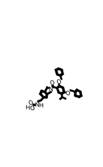 CC(C)c1cc(C(=O)N2Cc3ccc(CCNC(=O)O)cc3C2)c(OCc2ccccc2)cc1OCc1ccccc1